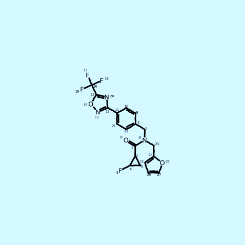 O=C(C1CC1F)N(Cc1ccc(-c2noc(C(F)(F)F)n2)cc1)Cc1ccco1